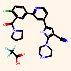 N#Cc1cc(-c2ccnc(-c3ccc(Cl)c(C(=O)N4CCCC4)c3)c2)[nH]c1N1CCNCC1.O=C(O)C(F)(F)F